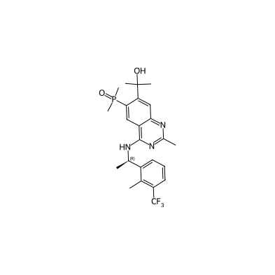 Cc1nc(N[C@H](C)c2cccc(C(F)(F)F)c2C)c2cc(P(C)(C)=O)c(C(C)(C)O)cc2n1